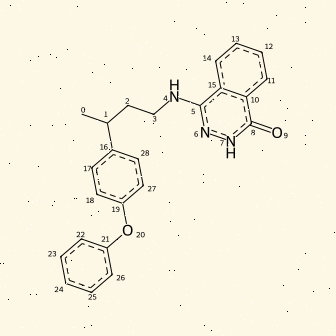 CC(CCNc1n[nH]c(=O)c2ccccc12)c1ccc(Oc2ccccc2)cc1